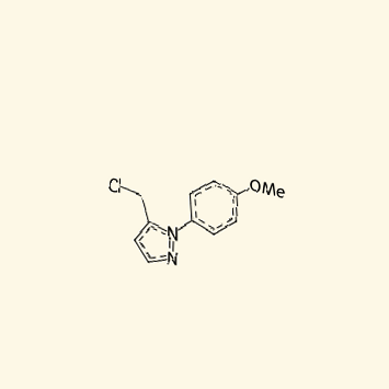 COc1ccc(-n2nccc2CCl)cc1